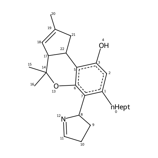 CCCCCCCc1cc(O)c2c(c1C1CCC=N1)OC(C)(C)C1C=C(C)CC21